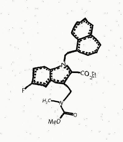 CCOC(=O)c1c(CN(C)C(=O)OC)c2cc(F)ccc2n1Cc1cccc2ccccc12